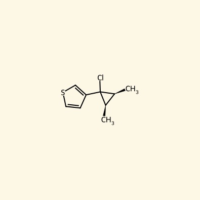 C[C@@H]1[C@H](C)C1(Cl)c1ccsc1